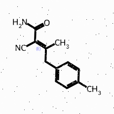 C/C(Cc1ccc(C)cc1)=C(/C#N)C(N)=O